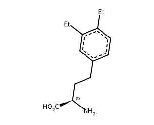 CCc1ccc(CC[C@@H](N)C(=O)O)cc1CC